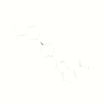 NC(=O)c1cccc2cn(-c3ccc([C@@H]4CCCN(/C(=C\C(=O)O)C(=O)O)C4)cc3)nc12